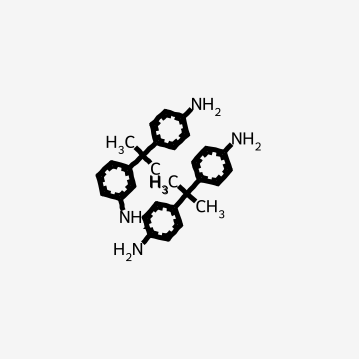 CC(C)(c1ccc(N)cc1)c1ccc(N)cc1.CC(C)(c1ccc(N)cc1)c1cccc(N)c1